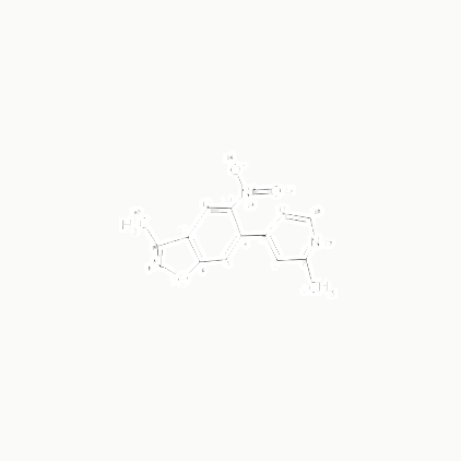 Cc1cc(-c2cc3onc(C)c3cc2[N+](=O)[O-])ccn1